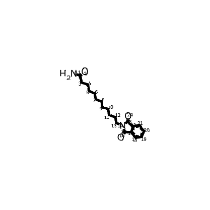 NC(=O)CCCCCCCCCCCN1C(=O)c2ccccc2C1=O